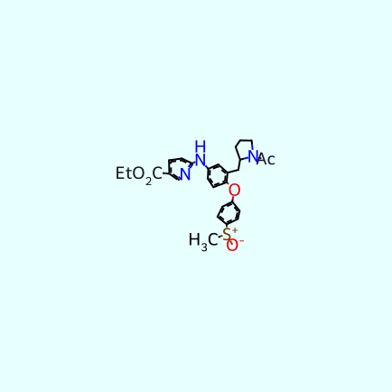 CCOC(=O)c1ccc(Nc2ccc(Oc3ccc([S+](C)[O-])cc3)c(CC3CCCN3C(C)=O)c2)nc1